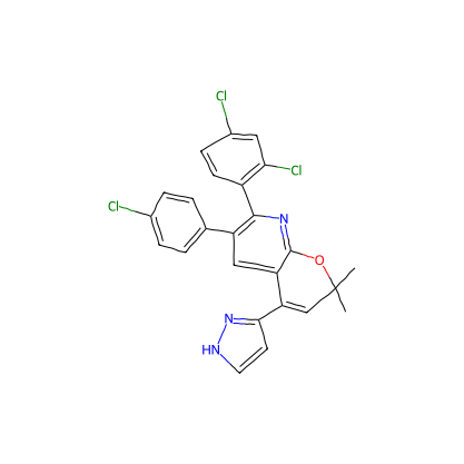 CC1(C)C=C(c2cc[nH]n2)c2cc(-c3ccc(Cl)cc3)c(-c3ccc(Cl)cc3Cl)nc2O1